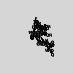 CC[C@@]1(O)C(=O)OCc2c1cc1n(c2=O)Cc2c-1nc1cc(F)c(C)c3c1c2[C@@H](NC(=O)CCC(=O)N[C@@H](Cc1ccccc1)C(=O)N[C@@H](CCCNC(N)=O)C(=O)N[C@@H](CCCCNC(=O)[C@H](CCCCNC(=O)CCOC)NC(=O)CN1C(=O)C=CC1=O)C(=O)N[C@@H](Cc1ccc(O)cc1)C(=O)O)CC3